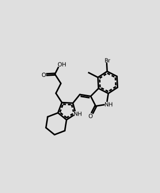 Cc1c(Br)ccc2c1C(=Cc1[nH]c3c(c1CCC(=O)O)CCCC3)C(=O)N2